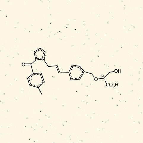 Cc1ccc(C(=O)c2cccn2CC=Cc2ccc(CO[C@H](CO)C(=O)O)cc2)cc1